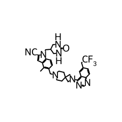 Cc1c(CN2CCC3(CC2)CN(c2ncnc4ccc(CC(F)(F)F)cc24)C3)ccc2c1cc(C#N)n2CC1CNC(=O)NC1